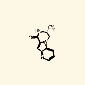 C[C@@H]1Cn2c(cc3ncccc32)C(=O)N1